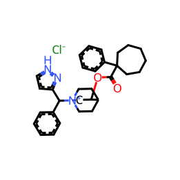 O=C(OC1C[N+]2(C(c3ccccc3)c3cc[nH]n3)CCC1CC2)C1(c2ccccc2)CCCCCC1.[Cl-]